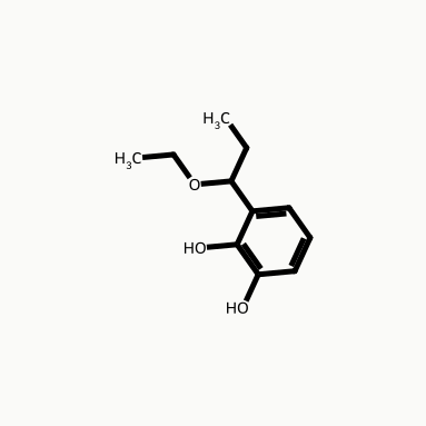 CCOC(CC)c1cccc(O)c1O